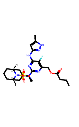 CCCC(=O)OCc1nc(N(C)C2C[C@H]3CCC[C@@H](C2)N3S(=O)(=O)CC)nc(Nc2cc(C)[nH]n2)c1F